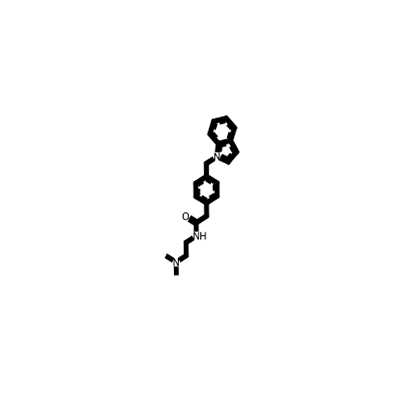 CN(C)CCNC(=O)Cc1ccc(Cn2ccc3ccccc32)cc1